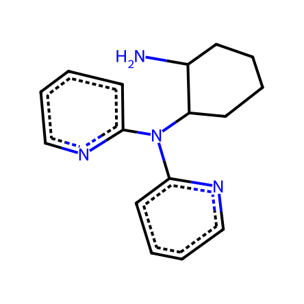 NC1CCCCC1N(c1ccccn1)c1ccccn1